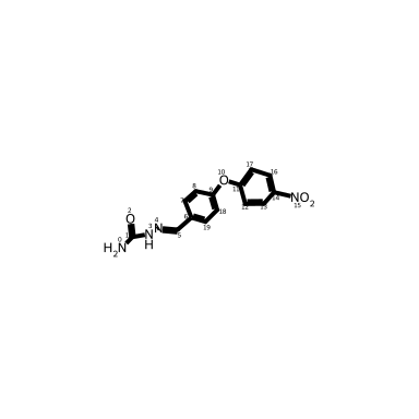 NC(=O)NN=Cc1ccc(Oc2ccc([N+](=O)[O-])cc2)cc1